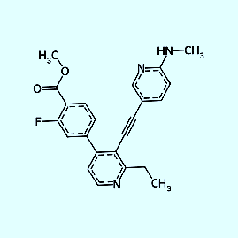 CCc1nccc(-c2ccc(C(=O)OC)c(F)c2)c1C#Cc1ccc(NC)nc1